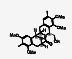 COc1cc2c(c(OC)c1C)C[C@@H]1N[C@H]2[C@@H]2Cc3cc(C)c(OC)c(OC)c3[C@H](CO)N2C1=O